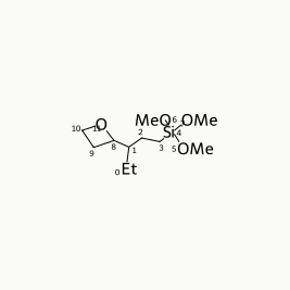 CCC(CC[Si](OC)(OC)OC)C1CCO1